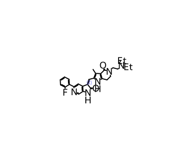 CCN(CC)CCN1CCc2[nH]c(/C=C3\C(=O)Nc4cnc(-c5ccccc5F)cc43)c(C)c2C1=O